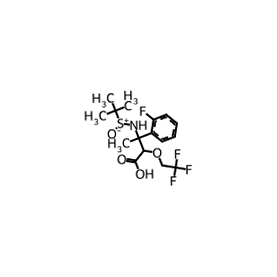 CC(N[S@+]([O-])C(C)(C)C)(c1ccccc1F)C(OCC(F)(F)F)C(=O)O